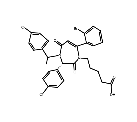 CC(c1ccc(Cl)cc1)N1C(=O)C=C(c2ccccc2Br)N(CCCCC(=O)O)C(=O)[C@@H]1c1ccc(Cl)cc1